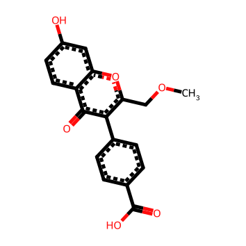 COCc1oc2cc(O)ccc2c(=O)c1-c1ccc(C(=O)O)cc1